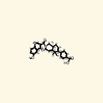 COc1ccc2ncc(C(=O)N3CC=C4C(C)(C)C(c5ccc(C(=O)O)cc5)=CC[C@]4(C)C3)c(O)c2c1